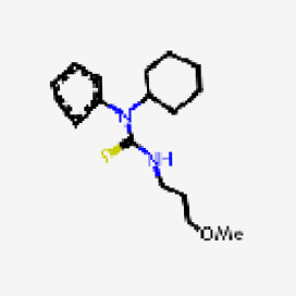 COCCCNC(=S)N(c1ccccc1)C1CCCCC1